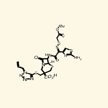 C=CCn1nnnc1SCC1(C(=O)O)CS[C@@H]2C(NC(=O)C(=NOCC(=O)OC(C)(C)C)c3csc(N)n3)C(=O)N2C1